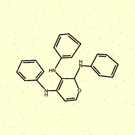 C1=CC(Nc2ccccc2)=C(Nc2ccccc2)C(Nc2ccccc2)O1